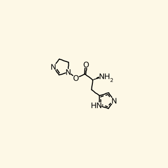 N[C@@H](Cc1cnc[nH]1)C(=O)ON1C=NCC1